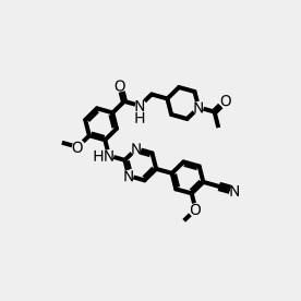 COc1cc(-c2cnc(Nc3cc(C(=O)NCC4CCN(C(C)=O)CC4)ccc3OC)nc2)ccc1C#N